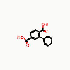 O=C(O)c1ccc(C(=O)O)c(C2C=CCCC2)c1